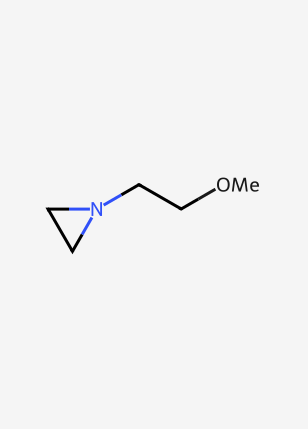 COCCN1CC1